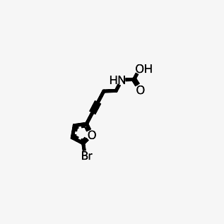 O=C(O)NCCC#Cc1ccc(Br)o1